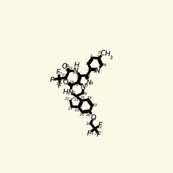 Cc1ccc(-c2nn3c(c2NC(=O)CC(F)(F)F)C(=O)N[C@@]2(CCc4cc(OCC(F)(F)F)ccc42)C3)nc1